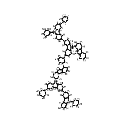 c1ccc(-c2ccc3c(c2)c2cc(-c4ccc5c(c4)c4cc(-c6cccc(-c7cccc8c7oc7ccc(-n9c%10ccc(-c%11ccccc%11)cc%10c%10cc(-c%11ccc%12c(c%11)c%11ccccc%11n%12-c%11ccccc%11)ccc%109)cc78)c6)ccc4n5-c4cccc5c4oc4ccccc45)ccc2n3-c2ccccc2)cc1